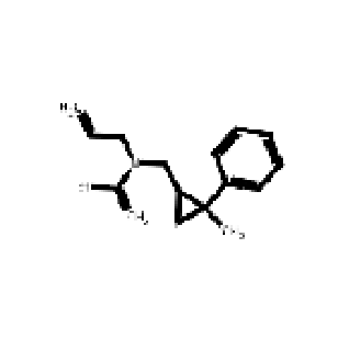 C=CCN(CC1CC1(C)c1ccccc1)C(=C)CC